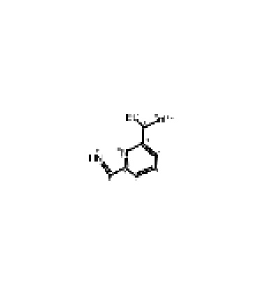 CCCC(CC)c1cccc(C=N)n1